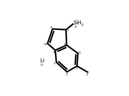 Cc1ccc2c(c1)C([SiH3])C=C2.[Li]